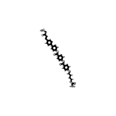 CCCCOC(=O)/C=C/c1ccc(-c2ccc(OC(=O)c3ccc(OC(=O)c4ccc(OCCCCOC(=O)C(C)CC)cc4)cc3)cc2)cc1